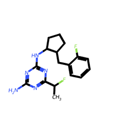 CC(F)c1nc(N)nc(NC2CCCC2Cc2ccccc2F)n1